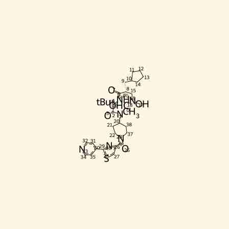 CN(C(=O)[C@@H](NC(=O)[C@H](CC1CCCC1)CN(O)C=O)C(C)(C)C)C1CCN(C(=O)c2csc(-c3ccncc3)n2)CC1